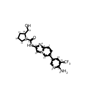 Nc1ncc(-c2ccc3nc(NC(=O)N4CCCC4CO)cn3c2)cc1C(F)(F)F